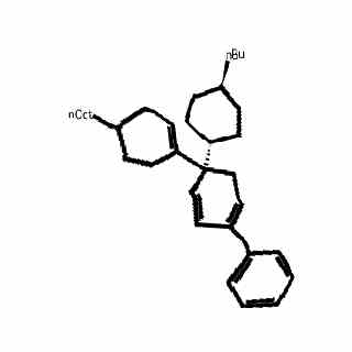 CCCCCCCCC1CC=C(C2([C@H]3CC[C@H](CCCC)CC3)C=CC(c3ccccc3)=CC2)CC1